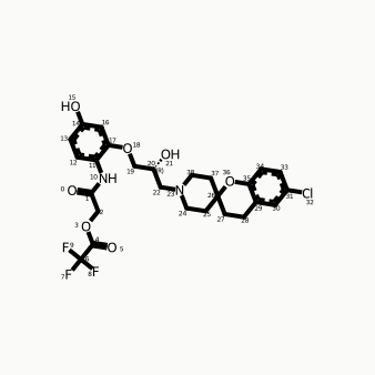 O=C(COC(=O)C(F)(F)F)Nc1ccc(O)cc1OC[C@H](O)CN1CCC2(CCc3cc(Cl)ccc3O2)CC1